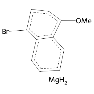 COc1ccc(Br)c2ccccc12.[MgH2]